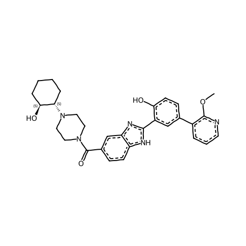 COc1ncccc1-c1ccc(O)c(-c2nc3cc(C(=O)N4CCN([C@H]5CCCC[C@@H]5O)CC4)ccc3[nH]2)c1